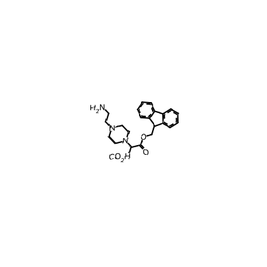 NCCN1CCN(C(C(=O)O)C(=O)OCC2c3ccccc3-c3ccccc32)CC1